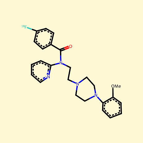 COc1ccccc1N1CCN(CCN(C(=O)c2ccc([18F])cc2)c2ccccn2)CC1